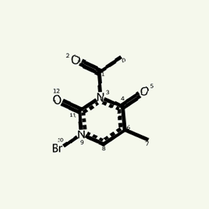 CC(=O)n1c(=O)c(C)cn(Br)c1=O